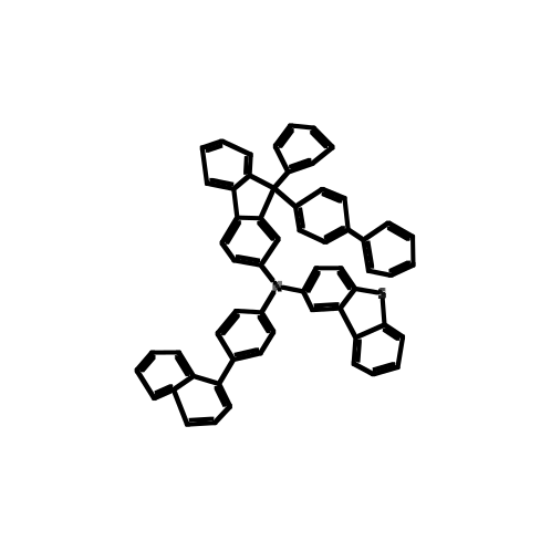 c1ccc(-c2ccc(C3(c4ccccc4)c4ccccc4-c4ccc(N(c5ccc(-c6cccc7ccccc67)cc5)c5ccc6sc7ccccc7c6c5)cc43)cc2)cc1